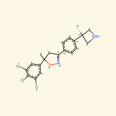 CC1(c2cc(Cl)c(Cl)c(Cl)c2)CC(c2ccc(C3(F)CNC3)cc2)=NO1